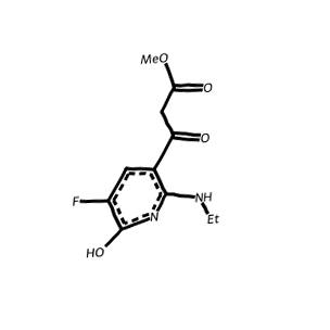 CCNc1nc(O)c(F)cc1C(=O)CC(=O)OC